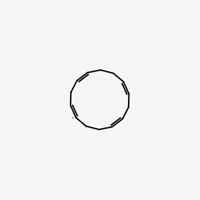 [C]1=CCC=CCCC=CCC=CCC1